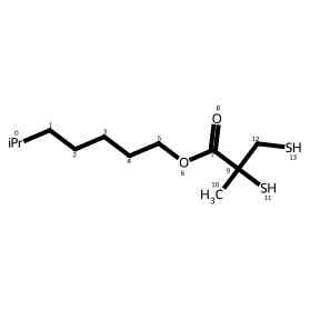 CC(C)CCCCCOC(=O)C(C)(S)CS